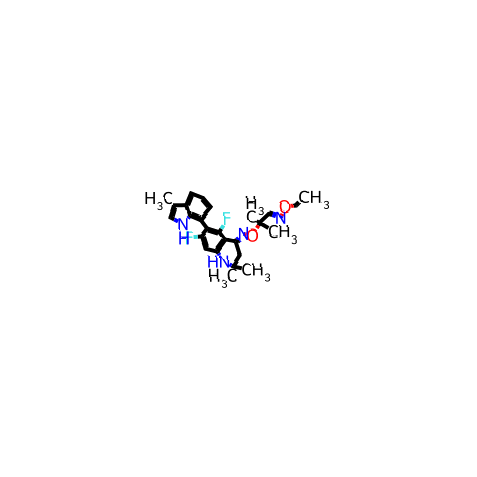 CCO/N=C/C(C)(C)O/N=C1\CC(C)(C)Nc2cc(F)c(-c3cccc4c(C)c[nH]c34)c(F)c21